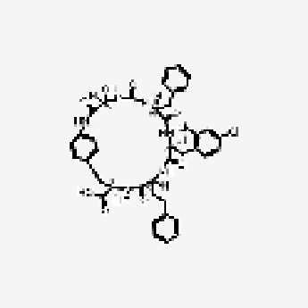 O=C1C[C@@H](O)C(=O)Nc2ccc(cc2)C[C@H](C(=O)O)NC(=O)[C@@H](CCc2ccccc2)NC(=O)[C@H](Cc2ccc(Cl)cc2Cl)NC(=O)[C@@H](Cc2ccccc2)N1